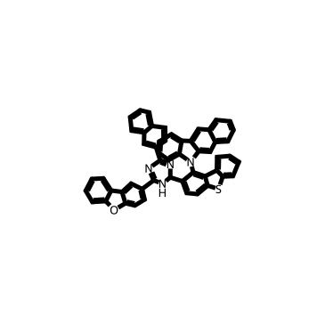 c1ccc2cc(C3=NC(c4ccc5sc6ccccc6c5c4-n4c5ccccc5c5cc6ccccc6cc54)NC(c4ccc5oc6ccccc6c5c4)=N3)ccc2c1